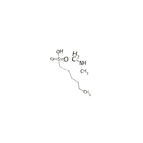 CCCCCCS(=O)(=O)O.CNC